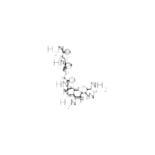 Cc1c(N)cncc1-c1cc2cc(NC(=O)CCCC(=O)NCCC(N)=O)ncc2c(N)c1F